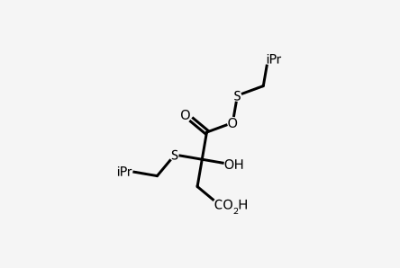 CC(C)CSOC(=O)C(O)(CC(=O)O)SCC(C)C